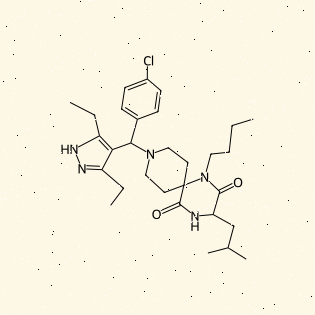 CCCCN1C(=O)C(CC(C)C)NC(=O)C12CCN(C(c1ccc(Cl)cc1)c1c(CC)n[nH]c1CC)CC2